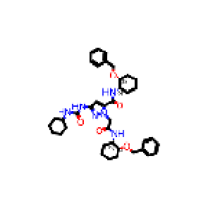 O=C(Cn1nc(NC(=O)NC2CCCCC2)cc1C(=O)N[C@H]1CCCC[C@@H]1OCc1ccccc1)N[C@H]1CCCC[C@@H]1OCc1ccccc1